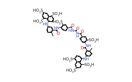 Cc1ccc(Nc2ccc(S(=O)(=O)O)c3cc(S(=O)(=O)O)cc(S(=O)(=O)O)c23)cc1C(=O)Nc1ccc(C(=O)NC(=O)NC(=O)c2ccc(NC(=O)c3cc(Nc4ccc(S(=O)(=O)O)c5cc(S(=O)(=O)O)cc(S(=O)(=O)O)c45)ccc3C)c(S(=O)(=O)O)c2)cc1S(=O)(=O)O